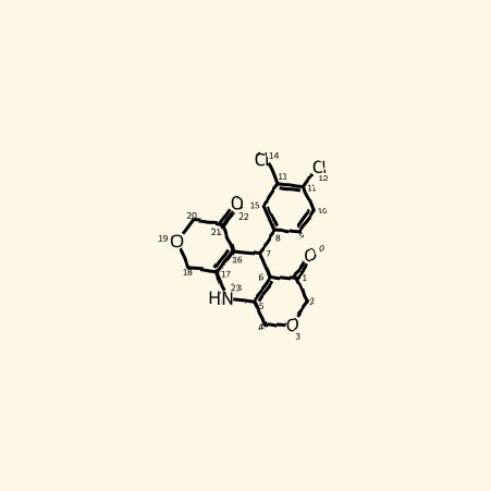 O=C1COCC2=C1C(c1ccc(Cl)c(Cl)c1)C1=C(COCC1=O)N2